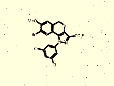 CCOC(=O)c1nn(-c2cc(Cl)cc(Cl)c2)c2c1SCc1cc(OC)c(Br)cc1-2